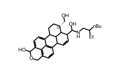 CCCCC(CC)CNC(O)C1C=CC2c3ccc4c5c(ccc(c35)C3CC[C@H](CO)C1C23)C(O)OC4